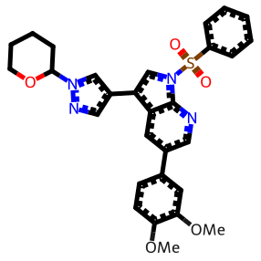 COc1ccc(-c2cnc3c(c2)c(-c2cnn(C4CCCCO4)c2)cn3S(=O)(=O)c2ccccc2)cc1OC